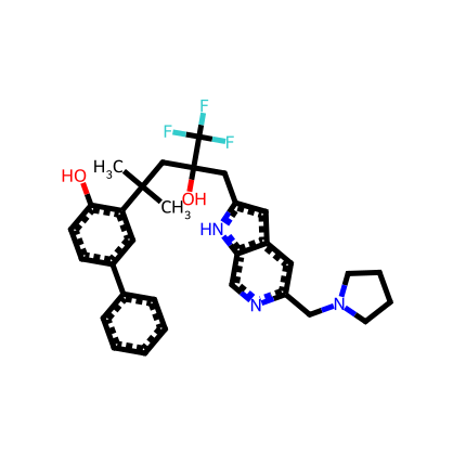 CC(C)(CC(O)(Cc1cc2cc(CN3CCCC3)ncc2[nH]1)C(F)(F)F)c1cc(-c2ccccc2)ccc1O